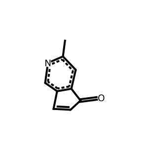 Cc1cc2c(cn1)C=CC2=O